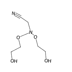 N#CCN(OCCO)OCCO